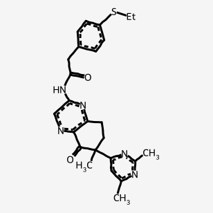 CCSc1ccc(CC(=O)Nc2cnc3c(n2)CCC(C)(c2cc(C)nc(C)n2)C3=O)cc1